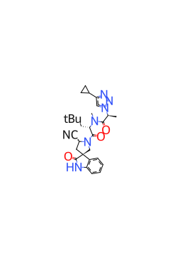 C[C@@H](C(=O)N(C)[C@@H](CC(C)(C)C)C(=O)N1C[C@]2(C[C@H]1C#N)C(=O)Nc1ccccc12)n1cc(C2CC2)nn1